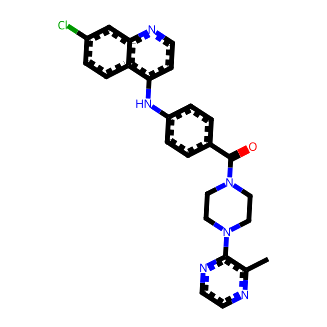 Cc1nccnc1N1CCN(C(=O)c2ccc(Nc3ccnc4cc(Cl)ccc34)cc2)CC1